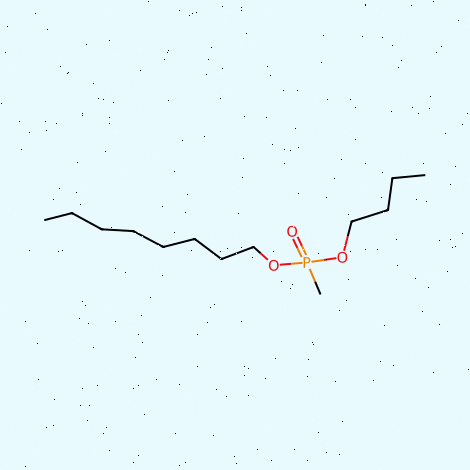 CCCCCCCCOP(C)(=O)OCCCC